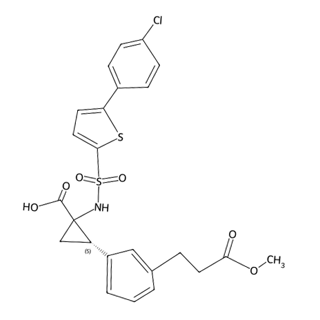 COC(=O)CCc1cccc([C@@H]2CC2(NS(=O)(=O)c2ccc(-c3ccc(Cl)cc3)s2)C(=O)O)c1